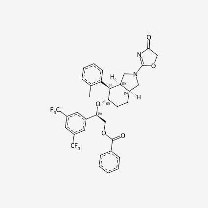 Cc1ccccc1[C@H]1[C@H]2CN(C3=NC(=O)CO3)C[C@H]2CC[C@@H]1O[C@@H](COC(=O)c1ccccc1)c1cc(C(F)(F)F)cc(C(F)(F)F)c1